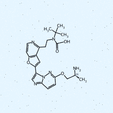 C[C@H](N)COc1ccc2ncc(-c3cc4c(CCN(C(=O)O)C(C)(C)C)nccc4o3)n2n1